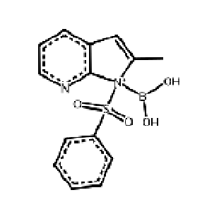 CC1=Cc2cccnc2[N+]1(B(O)O)S(=O)(=O)c1ccccc1